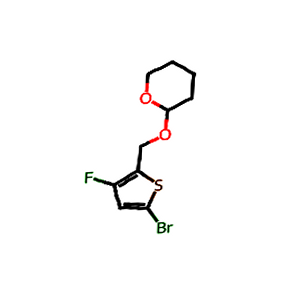 Fc1cc(Br)sc1COC1CCCCO1